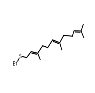 CCSC/C=C(\C)CC/C=C(\C)CCC=C(C)C